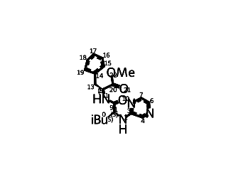 CC[C@H](C)[C@H](Nc1cnccn1)C(=O)N[C@@H](Cc1ccccc1)C(=O)OC